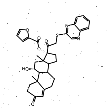 CC12CCC(=O)C=C1CCC1C2[C@@H](O)CC2(C)C1CC[C@]2(OC(=O)c1ccco1)C(=O)CSc1cnc2ccccc2n1